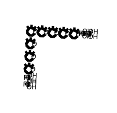 Cc1cccccoc(C)c1C.Cc1cccccoc(C)c1C.Cc1cccccoc(C)c1C.Cc1cccccoc(C)c1C.Cc1cccccoc(C)c1C.Cc1cccccoc(C)c1C.Cc1cccccoc(C)c1C.Cc1cccccoc(C)c1C.OB(O)F.OB(O)F.OB(O)F.OB(O)F